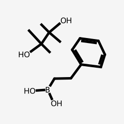 CC(C)(O)C(C)(C)O.OB(O)CCc1ccccc1